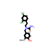 COc1cc(CN(CCc2ccc(Cl)cc2Cl)C(N)=S)ccc1O